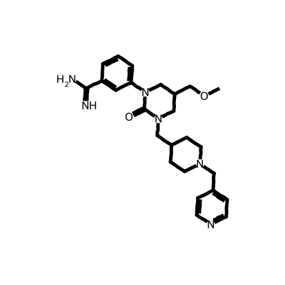 COCC1CN(CC2CCN(Cc3ccncc3)CC2)C(=O)N(c2cccc(C(=N)N)c2)C1